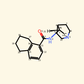 O=C(N[C@H]1CN2CCC1CC2)c1cccc2c1CCCC2